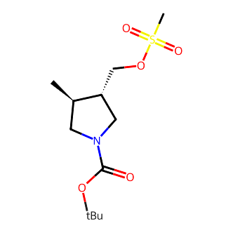 C[C@@H]1CN(C(=O)OC(C)(C)C)C[C@H]1COS(C)(=O)=O